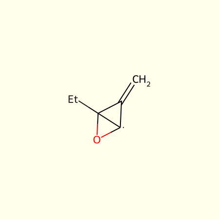 C=C1[C]2OC21CC